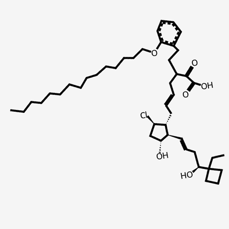 CCCCCCCCCCCCCCCOc1ccccc1CCC(CC=CC[C@@H]1[C@@H](C=CC[C@H](O)C2(CC)CCC2)[C@H](O)C[C@H]1Cl)C(=O)C(=O)O